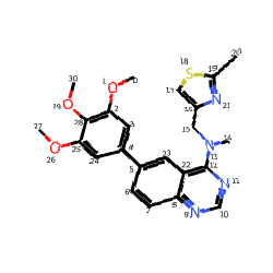 COc1cc(-c2ccc3ncnc(N(C)Cc4csc(C)n4)c3c2)cc(OC)c1OC